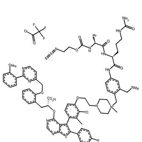 CNCc1cc(NC(=O)[C@H](CCCNC(N)=O)NC(=O)[C@@H](NC(=O)OCCN=[N+]=[N-])C(C)C)ccc1C[N+]1(C)CCN(CCOc2ccc(-c3c(-c4ccc(F)cc4)sc4ncnc(O[C@H](Cc5ccccc5OCc5ccnc(-c6ccccc6OC)n5)C(=O)O)c34)c(C)c2Cl)CC1.O=C([O-])C(F)(F)F